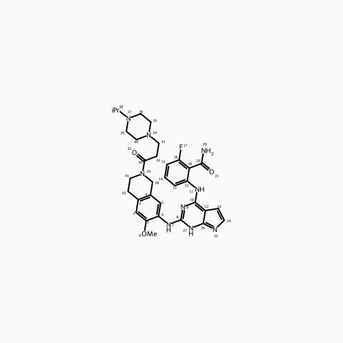 COc1cc2c(cc1Nc1nc(Nc3cccc(F)c3C(N)=O)c3ccnc-3[nH]1)CN(C(=O)CCN1CCN(C(C)C)CC1)CC2